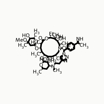 CC[C@H]1OC(=O)[C@H](C)[C@@H](O[C@H]2C[C@@](C)(OC)[C@@H](O)[C@H](C)O2)[C@H](C)[C@@H](O[C@@H]2O[C@H](C)C[C@H](N(C)CCc3cn(Cc4ccc(C(C)=N)cc4)nn3)[C@H]2O)[C@](C)(O)C[C@@H](C)CN(C)[C@H](C)[C@@H](O)[C@]1(C)O